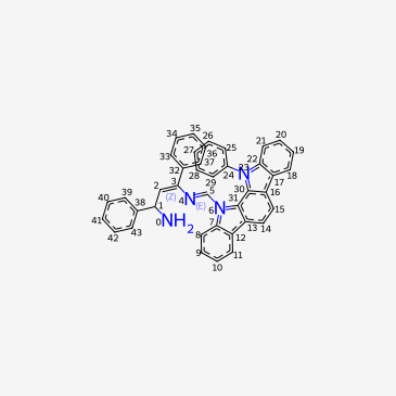 NC(/C=C(\N=C\n1c2ccccc2c2ccc3c4ccccc4n(-c4ccccc4)c3c21)c1ccccc1)c1ccccc1